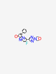 O=C1C[C@H](c2ccccc2)c2c1nc1cc(F)c(-c3cnc(N4CCOCC4)nc3)cn21